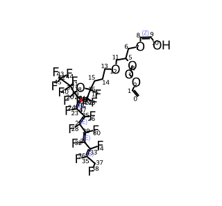 C=COOOC(CO/C=C\O)COCCCC(F)(OC(F)(/C(F)=C(F)/C(F)=C(F)/C(F)=C(F)/C(F)=C(\F)CF)C(F)(F)C(F)(F)F)C(F)(F)F